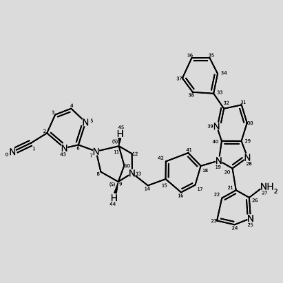 N#Cc1ccnc(N2C[C@@H]3C[C@H]2CN3Cc2ccc(-n3c(-c4cccnc4N)nc4ccc(-c5ccccc5)nc43)cc2)n1